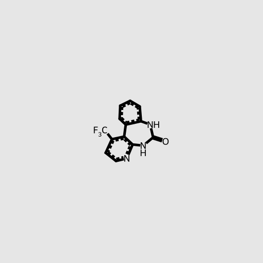 O=C1Nc2ccccc2-c2c(C(F)(F)F)ccnc2N1